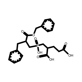 O=C(O)CCC(CP(=O)(O)CC(Cc1ccccc1)C(=O)OCc1ccccc1)C(=O)O